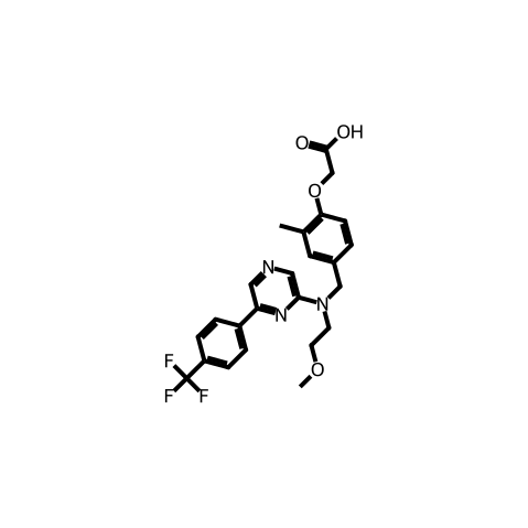 COCCN(Cc1ccc(OCC(=O)O)c(C)c1)c1cncc(-c2ccc(C(F)(F)F)cc2)n1